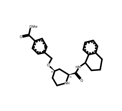 COC(=O)c1ccc(CO[C@@H]2CCN[C@H](C(=O)NC3CCCc4ccccc43)C2)cc1